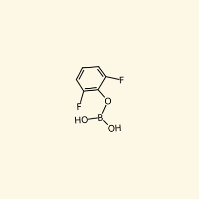 OB(O)Oc1c(F)cccc1F